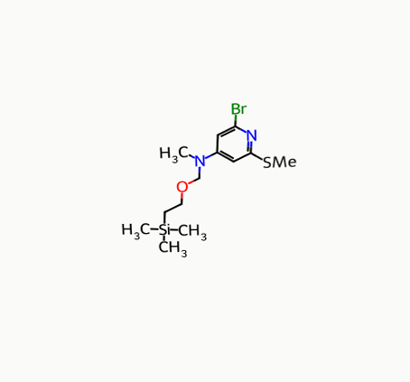 CSc1cc(N(C)COCC[Si](C)(C)C)cc(Br)n1